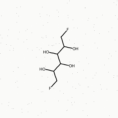 OC(CF)C(O)C(O)C(O)CF